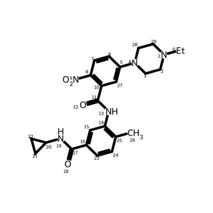 CCN1CCN(c2ccc([N+](=O)[O-])c(C(=O)Nc3cc(C(=O)NC4CC4)ccc3C)c2)CC1